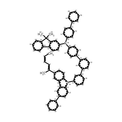 C/C=C\C=C(/C)c1ccc2c(c1)c1cc(-c3ccccc3)ccc1n2-c1cccc(-c2cccc(-c3ccc(N(c4ccc(-c5ccccc5)cc4)c4ccc5c(c4)C(C)(C)c4ccccc4-5)cc3)c2)c1